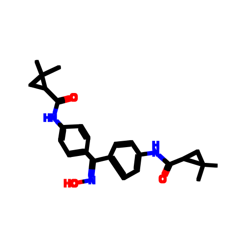 CC1(C)CC1C(=O)Nc1ccc(C(=NO)c2ccc(NC(=O)C3CC3(C)C)cc2)cc1